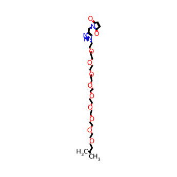 CC(C)CCOCCOCCOCCOCCOCCOCCOCCOCCOCCn1cc(CN2C(=O)C=CC2=O)nn1